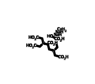 O=C(O)CN(CCN(CC(=O)O)CC(=O)O)CC(=O)O.O=C(O)O.[CaH2].[NaH].[NaH]